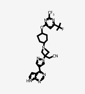 CC(C)(F)c1cc(OC2CCC(N3CC(CC#N)(n4cc(-c5ncnc6[nH]ccc56)cn4)C3)CC2)nc(C(F)(F)F)n1